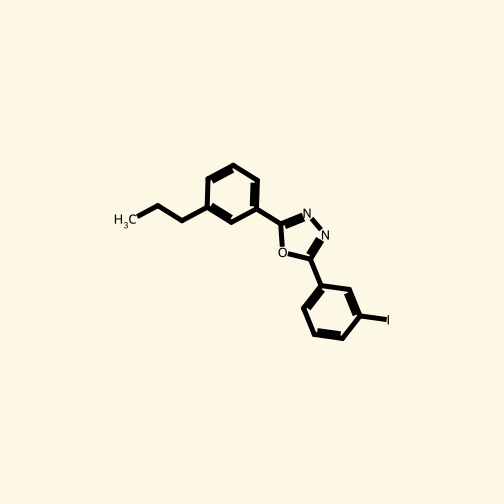 CCCc1cccc(-c2nnc(-c3cccc(I)c3)o2)c1